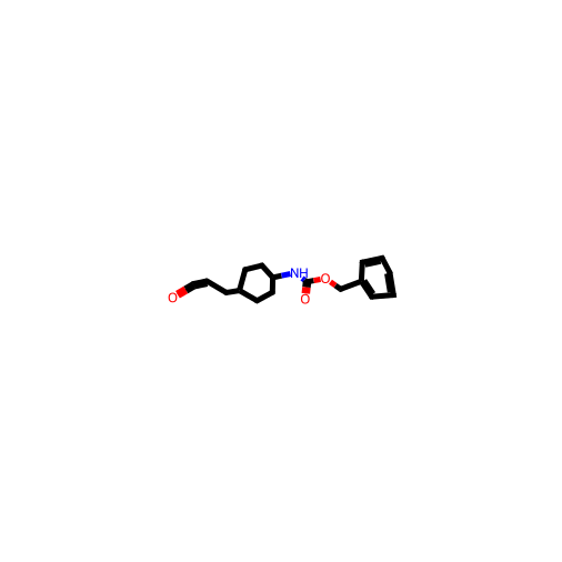 O=C=CCC1CCC(NC(=O)OCc2ccccc2)CC1